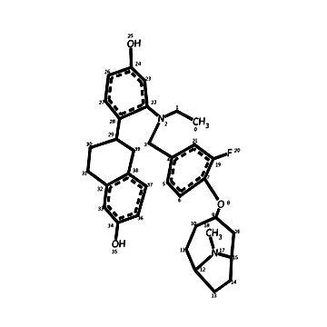 CCN(Cc1ccc(OC2CCC3CCC(C2)N3C)c(F)c1)c1cc(O)ccc1C1CCc2cc(O)ccc2C1